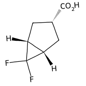 O=C(O)[C@H]1C[C@@H]2[C@H](C1)C2(F)F